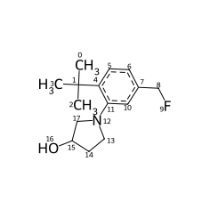 CC(C)(C)c1ccc(CF)cc1N1CCC(O)C1